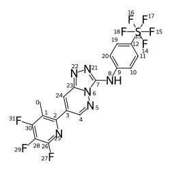 Cc1c(-c2cnn3c(Nc4ccc(S(F)(F)(F)(F)F)cc4)nnc3c2)nc(F)c(F)c1F